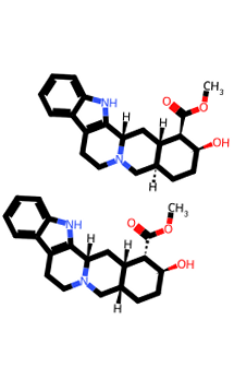 COC(=O)[C@@H]1[C@H]2C[C@H]3c4[nH]c5ccccc5c4CCN3C[C@@H]2CC[C@@H]1O.COC(=O)[C@H]1[C@H]2C[C@H]3c4[nH]c5ccccc5c4CCN3C[C@H]2CC[C@@H]1O